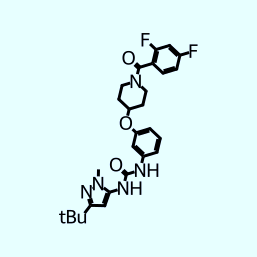 Cn1nc(C(C)(C)C)cc1NC(=O)Nc1cccc(OC2CCN(C(=O)c3ccc(F)cc3F)CC2)c1